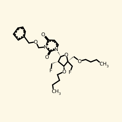 CCCCOC[C@@]1(CF)O[C@@H](n2ccc(=O)n(COCc3ccccc3)c2=O)[C@@H](CF)[C@@H]1OCCCC